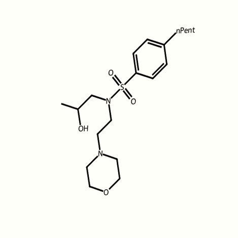 CCCCCc1ccc(S(=O)(=O)N(CCN2CCOCC2)CC(C)O)cc1